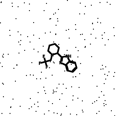 FC(F)(F)CN1CCCCC1c1nc2ccccc2[nH]1